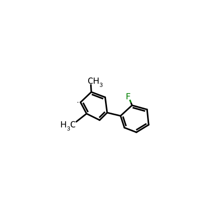 Cc1[c]c(C)cc(-c2ccccc2F)c1